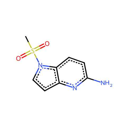 CS(=O)(=O)n1ccc2nc(N)ccc21